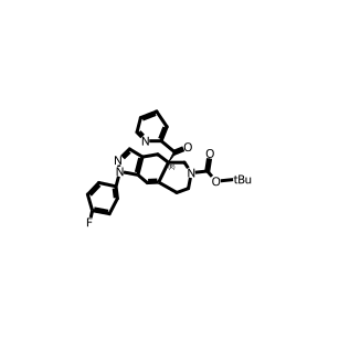 CC(C)(C)OC(=O)N1CCC2=Cc3c(cnn3-c3ccc(F)cc3)C[C@]2(C(=O)c2ccccn2)C1